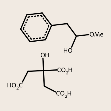 COC(O)Cc1ccccc1.O=C(O)CC(O)(CC(=O)O)C(=O)O